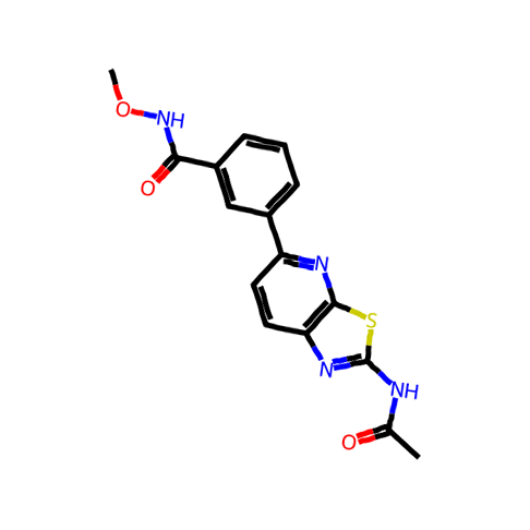 CONC(=O)c1cccc(-c2ccc3nc(NC(C)=O)sc3n2)c1